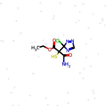 CCOC(=O)C(S)(C(N)=O)C1(Cl)N=CN=N1